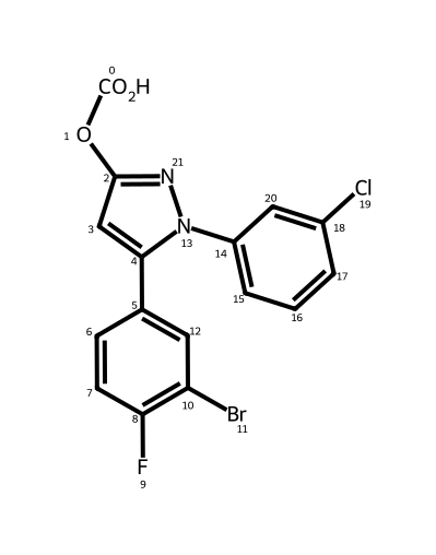 O=C(O)Oc1cc(-c2ccc(F)c(Br)c2)n(-c2cccc(Cl)c2)n1